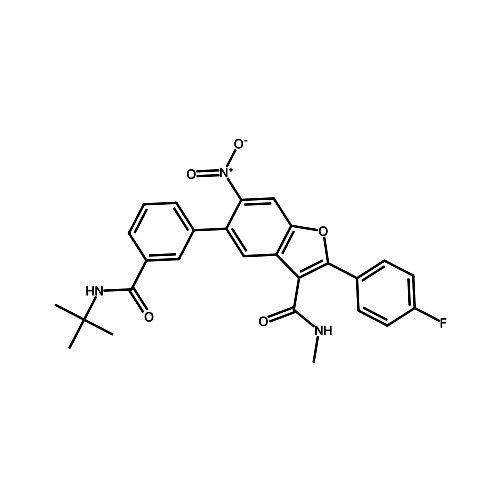 CNC(=O)c1c(-c2ccc(F)cc2)oc2cc([N+](=O)[O-])c(-c3cccc(C(=O)NC(C)(C)C)c3)cc12